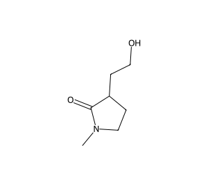 CN1CCC(CCO)C1=O